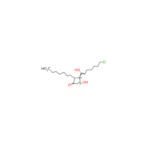 O=C(O)CCCCCCC1C(=O)C[C@@H](O)[C@@H]1C(O)=CCCCCCCl